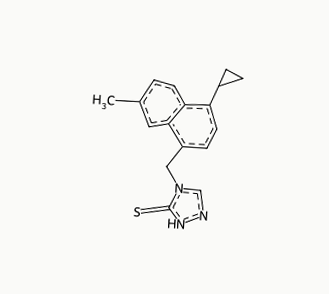 Cc1ccc2c(C3CC3)ccc(Cn3cn[nH]c3=S)c2c1